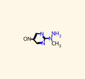 CN(N)c1ncc(N=O)cn1